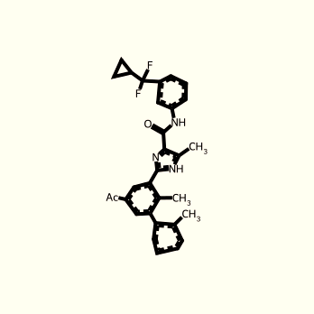 CC(=O)c1cc(-c2nc(C(=O)Nc3cccc(C(F)(F)C4CC4)c3)c(C)[nH]2)c(C)c(-c2ccccc2C)c1